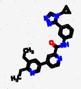 CCc1cc(-c2ccnc(C(=O)Nc3cccc(-c4nncn4C4CC4)c3)c2)cnc1CC